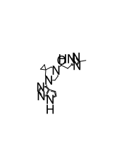 Cc1n[nH]c(CC(=O)N2CCN(c3ncnc4[nH]ccc34)CC3(CC3)C2)n1